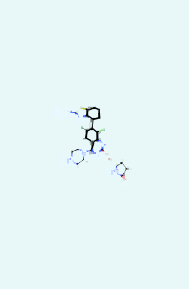 Nc1nc2c(-c3c(Cl)cc4c(N5CCNCC5)nc(OC[C@@H]5CCC(=O)N5)nc4c3F)cccc2s1